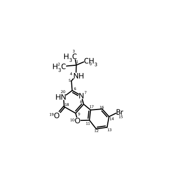 CC(C)(C)NCc1nc2c(oc3ccc(Br)cc32)c(=O)[nH]1